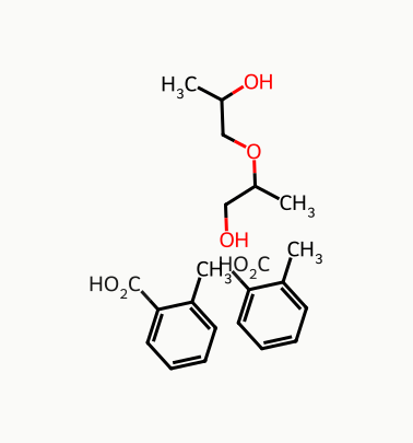 CC(O)COC(C)CO.Cc1ccccc1C(=O)O.Cc1ccccc1C(=O)O